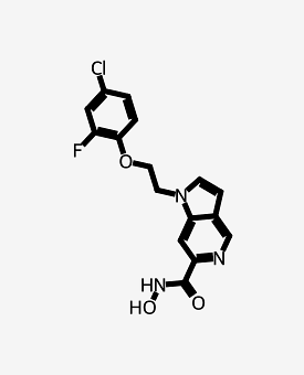 O=C(NO)c1cc2c(ccn2CCOc2ccc(Cl)cc2F)cn1